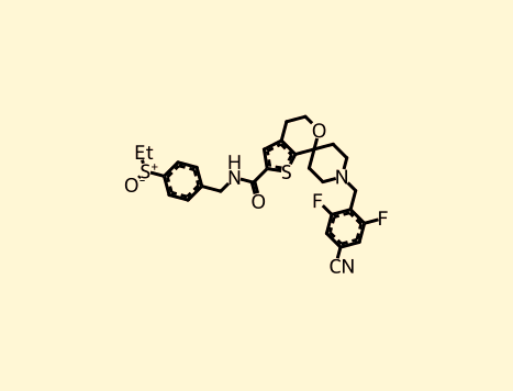 CC[S+]([O-])c1ccc(CNC(=O)c2cc3c(s2)C2(CCN(Cc4c(F)cc(C#N)cc4F)CC2)OCC3)cc1